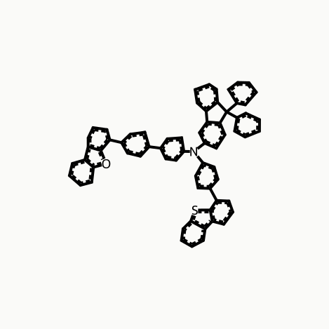 c1ccc(C2(c3ccccc3)c3ccccc3-c3cc(N(c4ccc(-c5ccc(-c6cccc7c6oc6ccccc67)cc5)cc4)c4ccc(-c5cccc6c5sc5ccccc56)cc4)ccc32)cc1